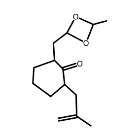 C=C(C)CC1CCCC(CC2OC(C)O2)C1=O